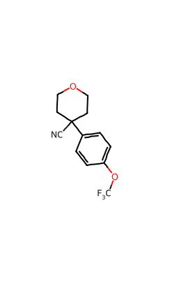 N#CC1(c2ccc(OC(F)(F)F)cc2)CCOCC1